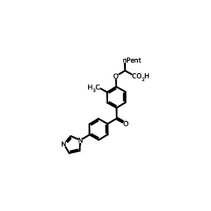 CCCCCC(Oc1ccc(C(=O)c2ccc(-n3ccnc3)cc2)cc1C)C(=O)O